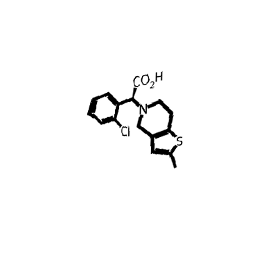 Cc1cc2c(s1)CCN([C@H](C(=O)O)c1ccccc1Cl)C2